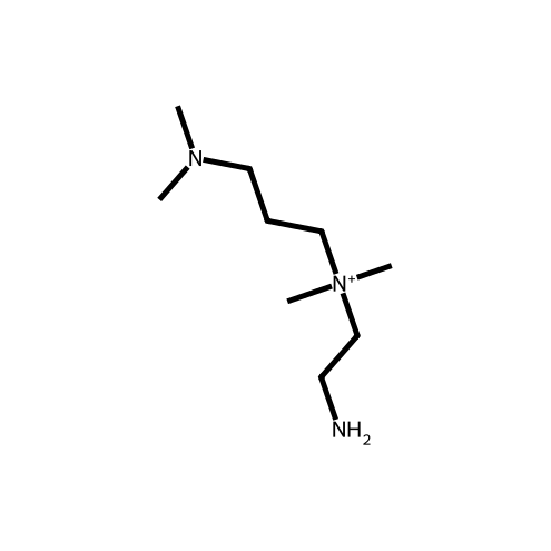 CN(C)CCC[N+](C)(C)CCN